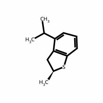 CC(C)c1cccc2c1C[C@H](C)S2